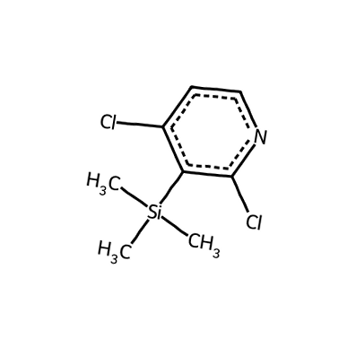 C[Si](C)(C)c1c(Cl)ccnc1Cl